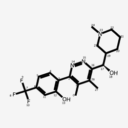 Cc1c(-c2ccc(C(F)(F)F)cc2O)nnc([C@H](O)C2CCCN(C)C2)c1C